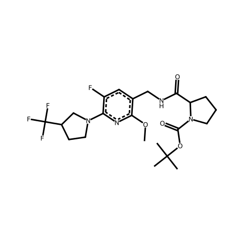 COc1nc(N2CCC(C(F)(F)F)C2)c(F)cc1CNC(=O)C1CCCN1C(=O)OC(C)(C)C